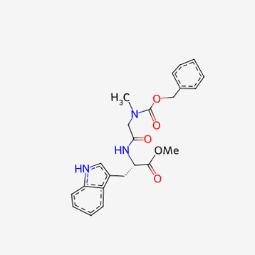 COC(=O)[C@H](Cc1c[nH]c2ccccc12)NC(=O)CN(C)C(=O)OCc1ccccc1